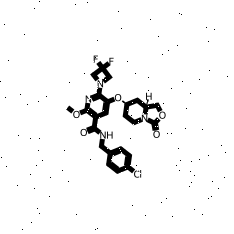 COc1nc(N2CC(F)(F)C2)c(O[C@H]2CCN3C(=O)OC[C@@H]3C2)cc1C(=O)NCc1ccc(Cl)cc1